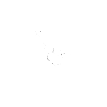 CCOC(C=C=[N+](C)C)C(=O)OC(C)(C)C.F[B-](F)(F)F